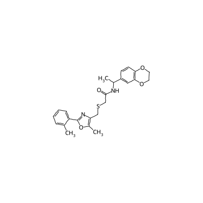 Cc1ccccc1-c1nc(CSCC(=O)NC(C)c2ccc3c(c2)OCCO3)c(C)o1